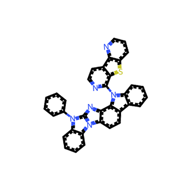 c1ccc(-n2c3ccccc3n3c4ccc5c6ccccc6n(-c6nccc7c6sc6cccnc67)c5c4nc23)cc1